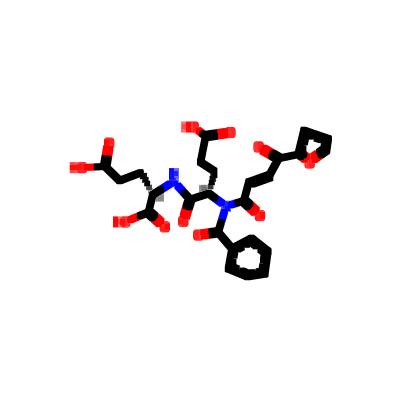 O=C(O)CC[C@H](NC(=O)[C@H](CCC(=O)O)N(C(=O)C=CC(=O)c1ccco1)C(=O)c1ccccc1)C(=O)O